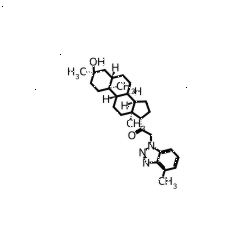 Cc1cccc2c1nnn2CC(=O)[C@H]1CC[C@H]2[C@@H]3CC[C@H]4C[C@](C)(O)CC[C@]4(C)[C@H]3CC[C@]12C